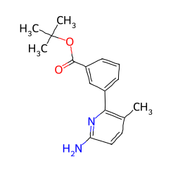 Cc1ccc(N)nc1-c1cccc(C(=O)OC(C)(C)C)c1